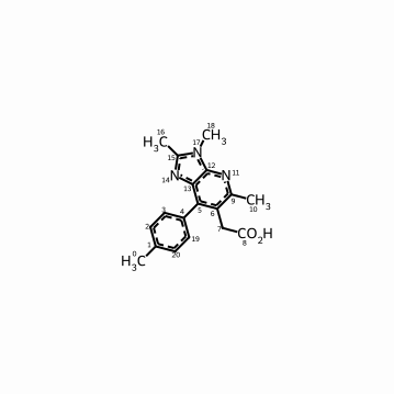 Cc1ccc(-c2c(CC(=O)O)c(C)nc3c2nc(C)n3C)cc1